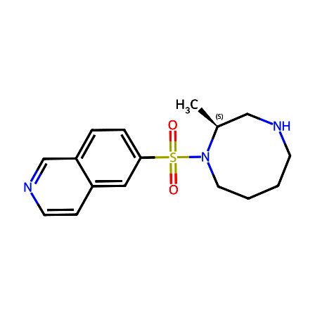 C[C@H]1CNCCCCN1S(=O)(=O)c1ccc2cnccc2c1